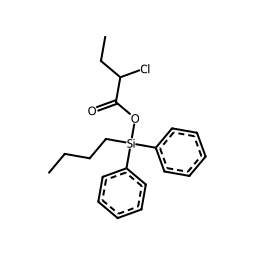 CCCC[Si](OC(=O)C(Cl)CC)(c1ccccc1)c1ccccc1